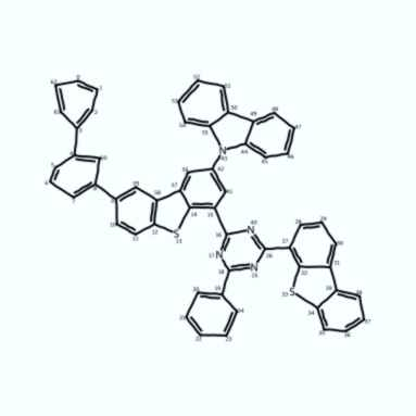 c1ccc(-c2cccc(-c3ccc4sc5c(-c6nc(-c7ccccc7)nc(-c7cccc8c7sc7ccccc78)n6)cc(-n6c7ccccc7c7ccccc76)cc5c4c3)c2)cc1